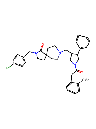 COc1ccccc1CC(=O)N1CC(CN2CCC3(CC2)CCN(Cc2ccc(Br)cc2)C3=O)C(c2ccccc2)C1